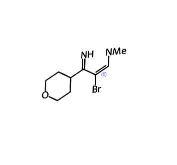 CN/C=C(/Br)C(=N)C1CCOCC1